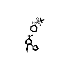 CC(C)(C)S(=O)(=O)N[C@H]1CC[C@H](CNc2ccc(C#N)c(-n3cccc3)c2)CC1